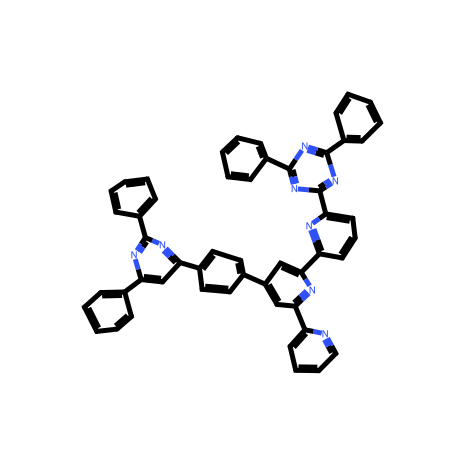 c1ccc(-c2cc(-c3ccc(-c4cc(-c5ccccn5)nc(-c5cccc(-c6nc(-c7ccccc7)nc(-c7ccccc7)n6)n5)c4)cc3)nc(-c3ccccc3)n2)cc1